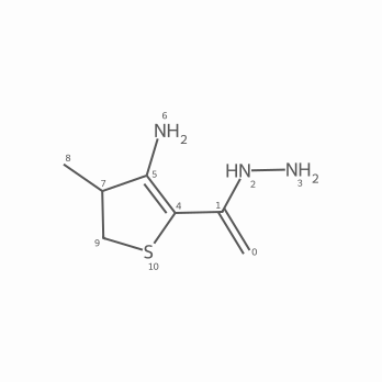 C=C(NN)C1=C(N)C(C)CS1